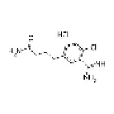 Cl.N=C(N)c1cc(CCCC(N)=O)ccc1Cl